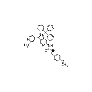 COc1ccc(CNC(=O)Nc2cc3c(cn2)c(-c2ccnc(C)c2)nn3C(c2ccccc2)(c2ccccc2)c2ccccc2)cc1